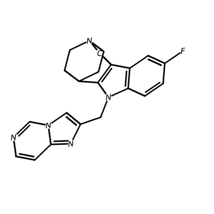 Fc1ccc2c(c1)c1c(n2Cc2cn3cnccc3n2)C2CCN(CC2)C1